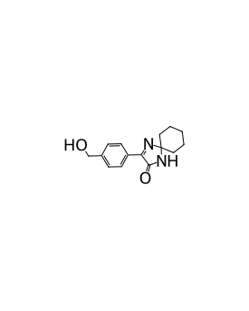 O=C1NC2(CCCCC2)N=C1c1ccc(CO)cc1